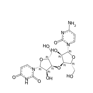 Nc1ccn([C@@H]2O[C@H](CO)[C@@H](O[C@H]3[C@@H](O)[C@H](n4ccc(=O)[nH]c4=O)O[C@@H]3CO)[C@H]2O)c(=O)n1